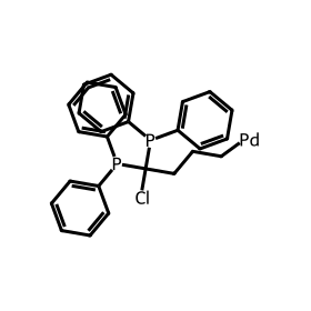 ClC(CC[CH2][Pd])(P(c1ccccc1)c1ccccc1)P(c1ccccc1)c1ccccc1